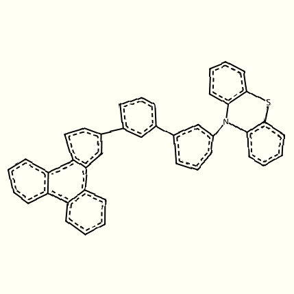 c1cc(-c2cccc(N3c4ccccc4Sc4ccccc43)c2)cc(-c2ccc3c4ccccc4c4ccccc4c3c2)c1